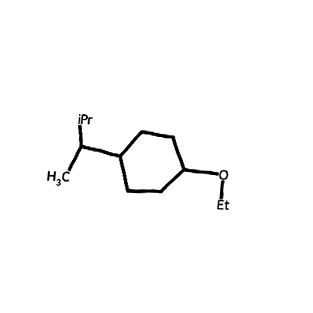 CCOC1CCC(C(C)C(C)C)CC1